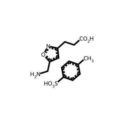 Cc1ccc(S(=O)(=O)O)cc1.NCc1cc(CCC(=O)O)no1